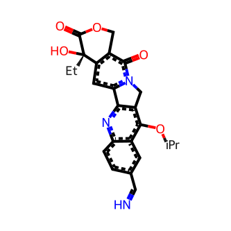 CC[C@@]1(O)C(=O)OCc2c1cc1n(c2=O)Cc2c-1nc1ccc(C=N)cc1c2OC(C)C